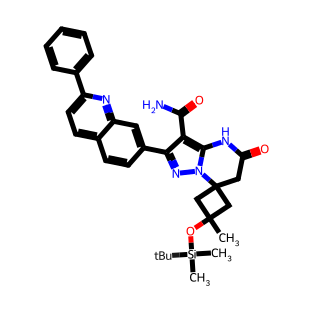 CC1(O[Si](C)(C)C(C)(C)C)CC2(CC(=O)Nc3c(C(N)=O)c(-c4ccc5ccc(-c6ccccc6)nc5c4)nn32)C1